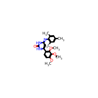 COc1ccc(-c2cc(=Nc3c(C)cc(C)cc3C)[nH]c(=O)[nH]2)c(OC)c1OC